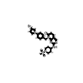 CS(=O)(=O)N1CCC(Nc2ncc3ccc(=O)n(Cc4ccc(-n5ccc(Br)c5)cc4)c3n2)CC1